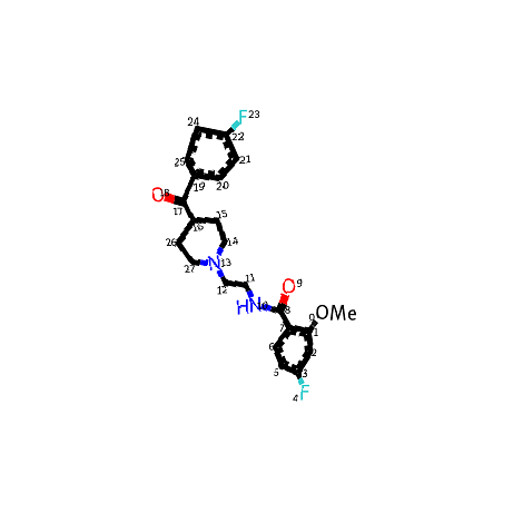 COc1cc(F)ccc1C(=O)NCCN1CCC(C(=O)c2ccc(F)cc2)CC1